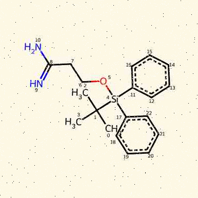 CC(C)(C)[Si](OCCC(=N)N)(c1ccccc1)c1ccccc1